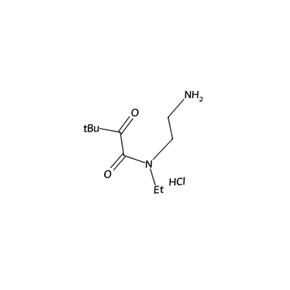 CCN(CCN)C(=O)C(=O)C(C)(C)C.Cl